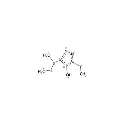 CCc1n[nH]c(C(C)CC)c1O